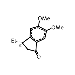 CC[C@H]1CC(=O)c2cc(OC)c(OC)cc21